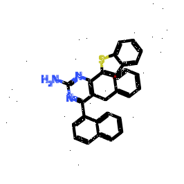 Nc1nc(-c2cc3ccccc3s2)c(Cc2ccccc2)c(-c2cccc3ccccc23)n1